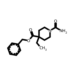 CCC1(C(=O)OCc2ccccc2)CCN(C(N)=O)CC1